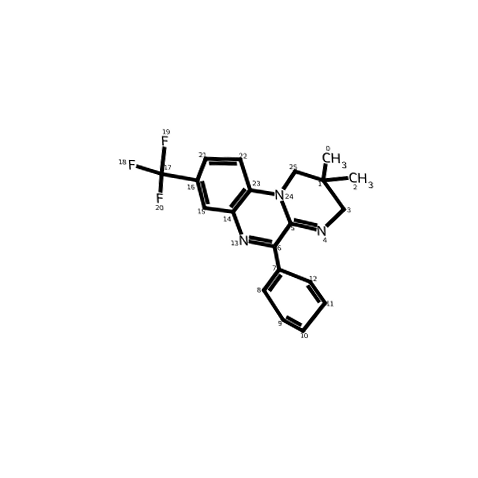 CC1(C)CN=C2C(c3ccccc3)=Nc3cc(C(F)(F)F)ccc3N2C1